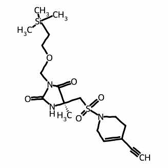 C#CC1=CCN(S(=O)(=O)C[C@@]2(C)NC(=O)N(COCC[Si](C)(C)C)C2=O)CC1